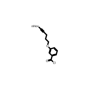 CCCCCCC#CCCCOc1cccc(C(=O)Cl)c1